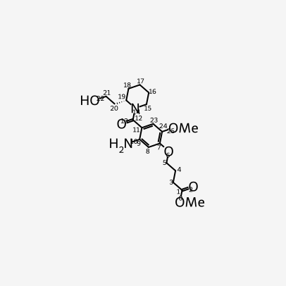 COC(=O)CCCOc1cc(N)c(C(=O)N2CCCC[C@H]2CCO)cc1OC